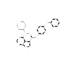 c1ccc(Oc2ccc(NC3=NN(C4CCOCC4)c4ncnc5[nH]cc3c45)cc2)cc1